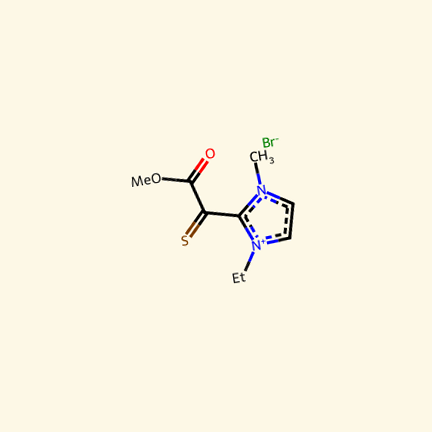 CC[n+]1ccn(C)c1C(=S)C(=O)OC.[Br-]